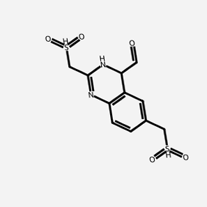 O=CC1NC(C[SH](=O)=O)=Nc2ccc(C[SH](=O)=O)cc21